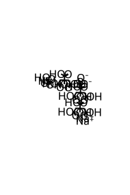 O=C(O)CC(O)(CC(=O)O)C(=O)O.O=C(O)CC(O)(CC(=O)O)C(=O)O.O=C(O)CC(O)(CC(=O)O)C(=O)O.O=S(=O)(O)O.[Na+].[Na+].[Na+].[O-]B([O-])[O-]